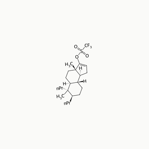 CCC[C@@H]1CC[C@@H]2[C@H](CC[C@]3(C)C(OS(=O)(=O)C(F)(F)F)=CC[C@@H]23)[C@@]1(C)CCC